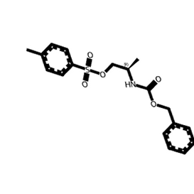 Cc1ccc(S(=O)(=O)OC[C@@H](C)NC(=O)OCc2ccccc2)cc1